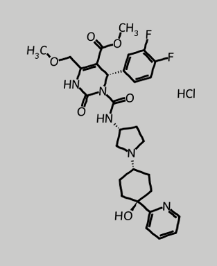 COCC1=C(C(=O)OC)[C@H](c2ccc(F)c(F)c2)N(C(=O)N[C@@H]2CCN([C@H]3CC[C@@](O)(c4ccccn4)CC3)C2)C(=O)N1.Cl